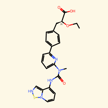 CCO[C@@H](Cc1ccc(-c2cccc(N(C)C(=O)NC3=CC=CN4SNC=C34)n2)cc1)C(=O)O